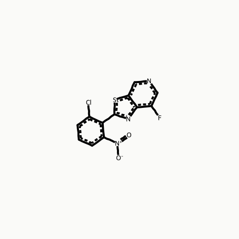 O=[N+]([O-])c1cccc(Cl)c1-c1nc2c(F)cncc2s1